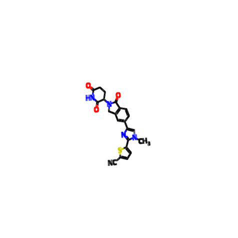 Cn1cc(-c2ccc3c(c2)CN(C2CCC(=O)NC2=O)C3=O)nc1-c1ccc(C#N)s1